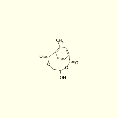 Cc1cc2ccc1C(=O)OCC(O)OC2=O